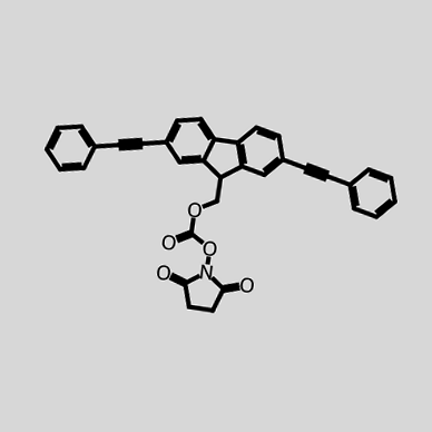 O=C(OCC1c2cc(C#Cc3ccccc3)ccc2-c2ccc(C#Cc3ccccc3)cc21)ON1C(=O)CCC1=O